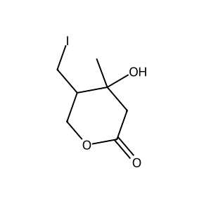 CC1(O)CC(=O)OCC1CI